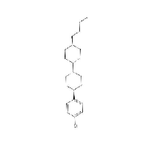 CCCC[C@H]1CC[C@H]([C@H]2CC[C@H](c3ccc(Cl)cc3)CC2)CC1